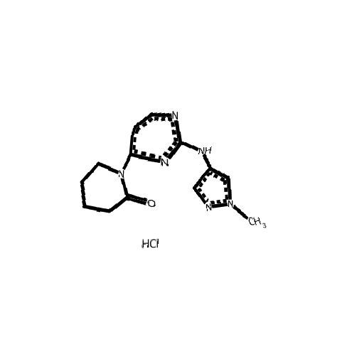 Cl.Cn1cc(Nc2nccc(N3CCCCC3=O)n2)cn1